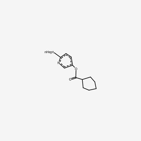 CCCCCCCc1ccc(OC(=O)C2CCCCC2)cn1